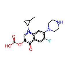 CC1CC1n1cc(OC(=O)O)c(=O)c2cc(F)c(N3CCNCC3)cc21